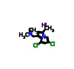 Cc1cc(CN(C)C)c2c(Cl)cc(Cl)cn12.I